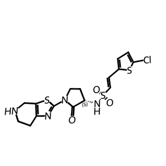 O=C1[C@@H](NS(=O)(=O)C=Cc2ccc(Cl)s2)CCN1c1nc2c(s1)CNCC2